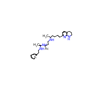 C=C(NCCc1ccccc1)NC(CCNC(C)CCCCc1ccc2c(n1)NCCC2)C(C)=O